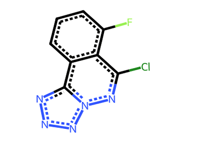 Fc1cccc2c1c(Cl)nn1nnnc21